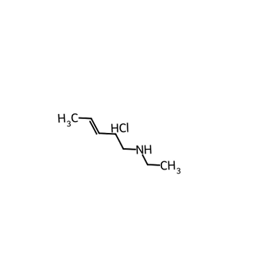 CC=CCCNCC.Cl